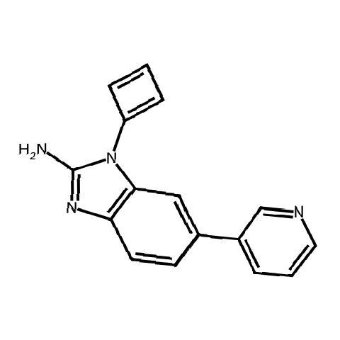 Nc1nc2ccc(-c3cccnc3)cc2n1C1=CC=C1